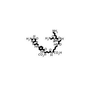 NCCCCC(NC(=O)CN)C(=O)NC(CS)C(=O)NCCCCC(NC(=O)CCC(NC(=O)c1ccc(NCC2=NC3C(=O)NC(N)=NC3N=C2)cc1)C(=O)O)C(=O)O